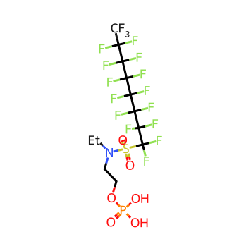 CCN(CCOP(=O)(O)O)S(=O)(=O)C(F)(F)C(F)(F)C(F)(F)C(F)(F)C(F)(F)C(F)(F)C(F)(F)C(F)(F)F